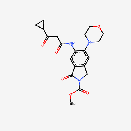 CC(C)(C)OC(=O)N1Cc2cc(N3CCOCC3)c(NC(=O)CC(=O)C3CC3)cc2C1=O